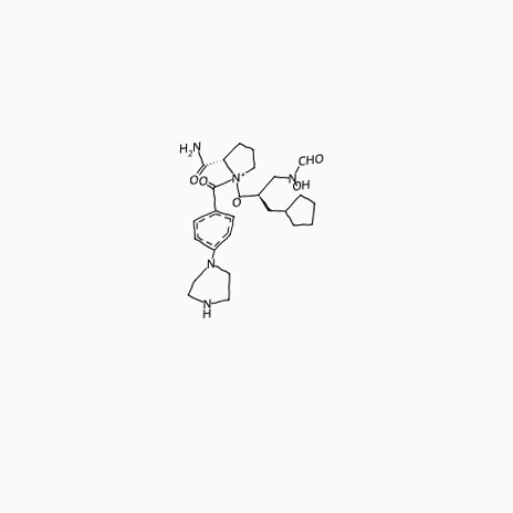 NC(=O)[C@@H]1CCC[N+]1(C(=O)c1ccc(N2CCNCC2)cc1)C(=O)[C@H](CC1CCCC1)CN(O)C=O